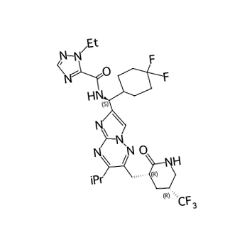 CCn1ncnc1C(=O)N[C@H](c1cn2nc(C[C@H]3C[C@@H](C(F)(F)F)CNC3=O)c(C(C)C)nc2n1)C1CCC(F)(F)CC1